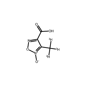 [2H]C([2H])([2H])c1c(C(=O)O)no[n+]1[O-]